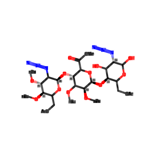 CCCCOC1[C@H](O[C@H]2OC(COC(C)=O)[C@@H](OCCCC)[C@H](OCCCC)C2N=[N+]=[N-])C(C(=O)OC)O[C@@H](O[C@@H]2C(COC(C)=O)OC(O)[C@@H](N=[N+]=[N-])C2O)[C@H]1OCCCC